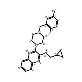 Clc1ccc(Cl)c(CN2CCN(c3nc4ccccc4nc3NCC3CC3)CC2)c1